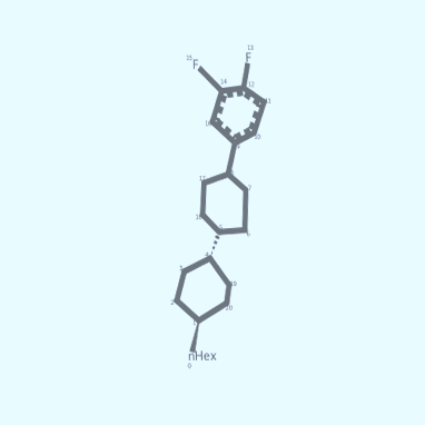 CCCCCC[C@H]1CC[C@H](C2CCC(c3ccc(F)c(F)c3)CC2)CC1